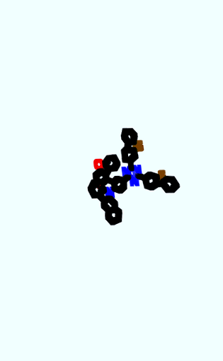 c1ccc2cc3c(cc2c1)c1ccccc1n3-c1ccc(-c2nc(-c3ccc4c(c3)sc3ccccc34)nc(-c3ccc4c(c3)sc3ccccc34)n2)cc1-c1cccc2oc3ccccc3c12